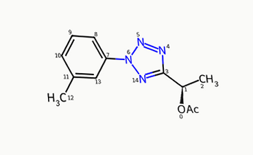 CC(=O)O[C@H](C)c1nnn(-c2cccc(C)c2)n1